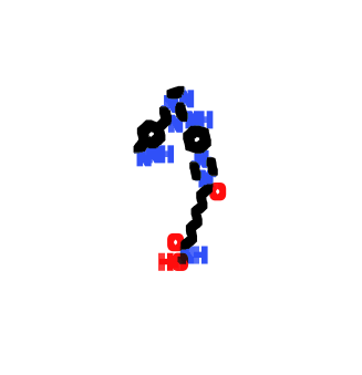 O=C(CCCCCCC(=O)N1CCN(c2ccc(Nc3nc(-c4ccc5cn[nH]c5c4)cn4ccnc34)cc2)CC1)NO